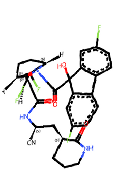 N#C[C@H](C[C@@H]1CCCNC1=O)NC(=O)[C@H]1[C@@H]2CC[C@@H](CC2(F)F)N1C(=O)C1(O)c2cc(F)ccc2-c2ccc(F)cc21